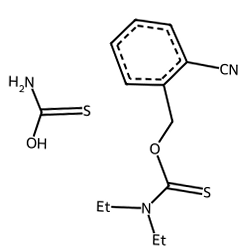 CCN(CC)C(=S)OCc1ccccc1C#N.NC(O)=S